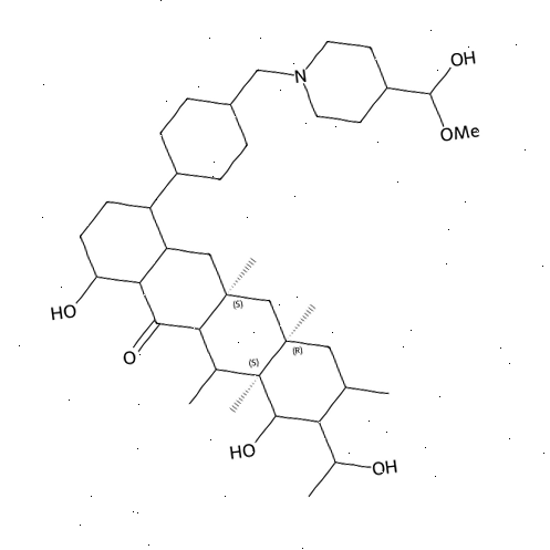 COC(O)C1CCN(CC2CCC(C3CCC(O)C4C(=O)C5C(C)[C@]6(C)C(O)C(C(C)O)C(C)C[C@]6(C)C[C@]5(C)CC34)CC2)CC1